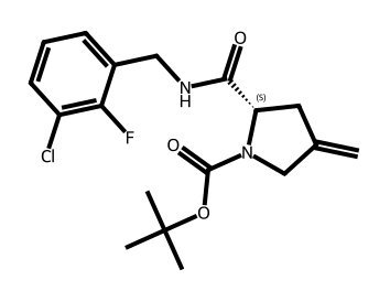 C=C1C[C@@H](C(=O)NCc2cccc(Cl)c2F)N(C(=O)OC(C)(C)C)C1